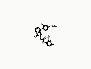 COc1ccc(-c2cccn3c(=S)n(CC(=O)Nc4ccc(Cl)nc4N)cc23)c(Cl)c1